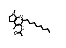 CCCCCCCCc1nc2c(c(C)c1OC(C)=O)CCN2C